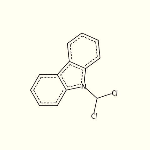 ClC(Cl)n1c2ccccc2c2ccccc21